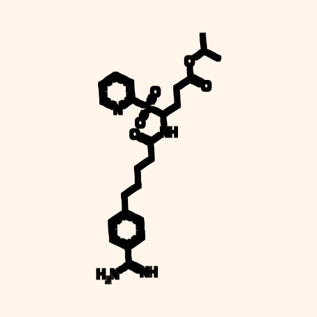 CC(C)OC(=O)CCC(NC(=O)CCCCc1ccc(C(=N)N)cc1)S(=O)(=O)c1ccccn1